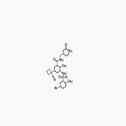 N#CC1(c2cc(NS(=O)(=O)c3cc(Br)ccc3O)c(O)c(C(=O)NCc3cc[nH]c(=O)c3)c2)CCC1